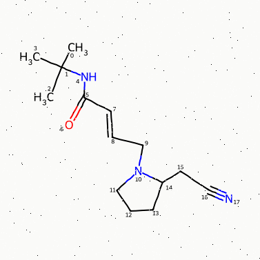 CC(C)(C)NC(=O)/C=C/CN1CCCC1CC#N